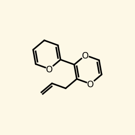 C=CCC1=C(C2=CCC=CO2)OC=CO1